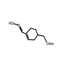 COCC1CC=C(C=NO)CC1